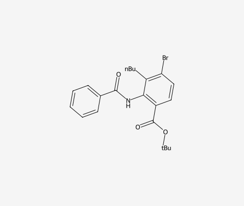 CCCCc1c(Br)ccc(C(=O)OC(C)(C)C)c1NC(=O)c1ccccc1